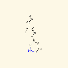 C=C/C=C(C)\C=C/CC1CCCNC1